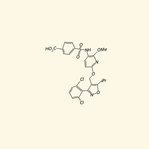 COc1nc(OCc2c(-c3c(Cl)cccc3Cl)noc2C(C)C)ccc1NS(=O)(=O)c1ccc(C(=O)O)cc1